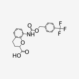 O=C(Nc1cccc2c1OC(C(=O)O)CC2)OCc1ccc(C(F)(F)F)cc1